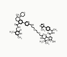 Cc1cc(C)c(CNC(=O)c2cc(-c3ccc(NCCOCCOCC(=O)NC(C(=O)N4C[C@H](O)C[C@H]4C(=O)NC(C)c4ccc(-c5scnc5C)cc4)C(C)(C)C)nc3)cc3c2CCC(C)N3C2CCOCC2)c(=O)[nH]1